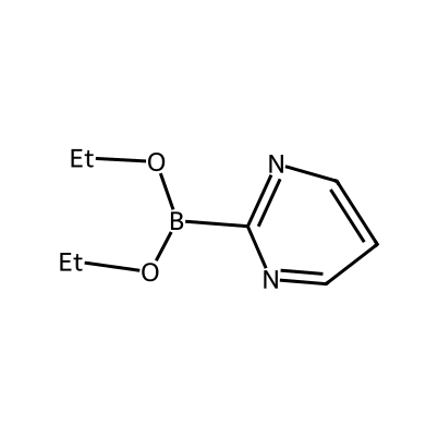 CCOB(OCC)c1ncccn1